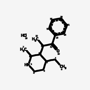 CCC1CCNC(C)C1C(C)C(=O)c1ccccc1.Cl